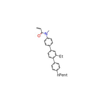 C=CC(=O)N(C)c1ccc(-c2ccc(-c3ccc(CCCCC)cc3)c(CC)c2)cc1